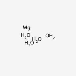 O.O.O.O.[Mg]